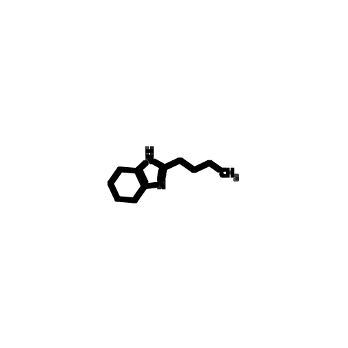 CCCCc1nc2c([nH]1)CCCC2